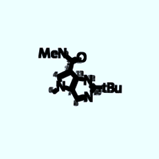 CNC(=O)c1cn(C)c2cnc(C(C)(C)C)nc12